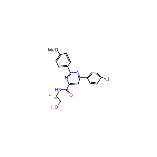 COc1ccc(-c2nc(C(=O)N[C@@H](C)CO)cc(-c3ccc(Cl)cc3)n2)cc1